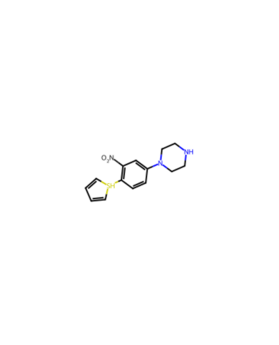 O=[N+]([O-])c1cc(N2CCNCC2)ccc1[SH]1C=CC=C1